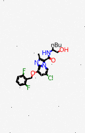 CCCCC(CO)NC(=O)c1c(C)nc2c(OCc3c(F)cccc3F)cc(Cl)cn12